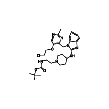 Cc1ncc(OCCCl)c(Cn2c(NC3CCN(CCNC(=O)OC(C)(C)C)CC3)nc3ccccc32)n1